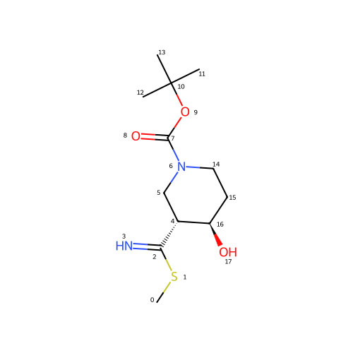 CSC(=N)[C@@H]1CN(C(=O)OC(C)(C)C)CC[C@H]1O